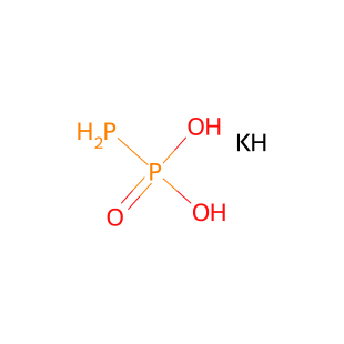 O=P(O)(O)P.[KH]